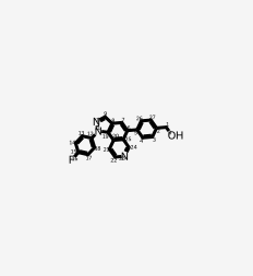 OCc1ccc(-c2cc3cnn(-c4ccc(F)cc4)c3c3ccncc23)cc1